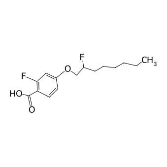 CCCCCCC(F)COc1ccc(C(=O)O)c(F)c1